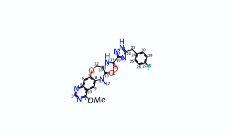 COc1ncnc2cc3c(cc12)N(C)C(=O)[C@@H](NC(=O)c1n[nH]c(Cc2ccc(F)cc2)n1)CO3